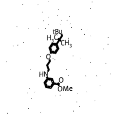 COC(=O)c1cccc(NCCCOc2ccc(C(C)(C)CC(C)(C)C)cc2)c1